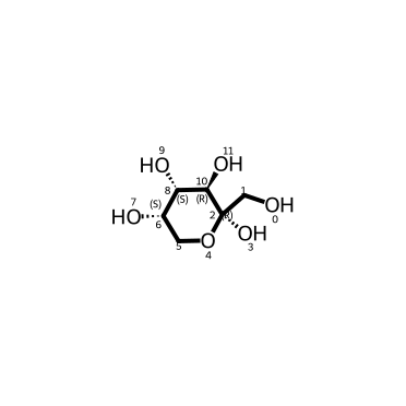 OC[C@@]1(O)OC[C@H](O)[C@H](O)[C@H]1O